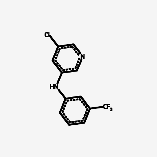 FC(F)(F)c1cccc(Nc2cncc(Cl)c2)c1